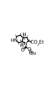 CCOC(=O)C1C[C@@H]2CCNC[C@@H]2N1C(=O)OC(C)(C)C